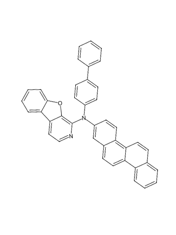 c1ccc(-c2ccc(N(c3ccc4c(ccc5c6ccccc6ccc45)c3)c3nccc4c3oc3ccccc34)cc2)cc1